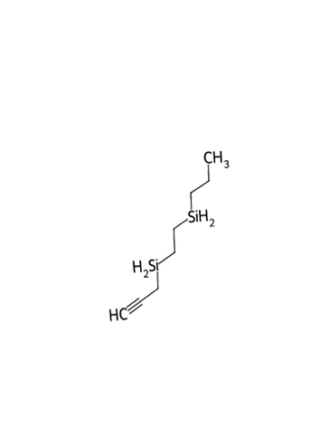 C#CC[SiH2]CC[SiH2]CCC